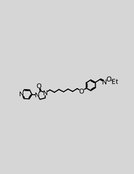 CCON=Cc1ccc(OCCCCCCCN2CCN(c3ccncc3)C2=O)cc1